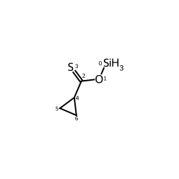 [SiH3]OC(=S)C1CC1